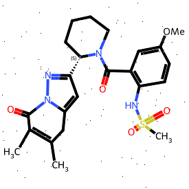 COc1ccc(NS(C)(=O)=O)c(C(=O)N2CCCC[C@H]2c2cc3n(n2)C(=O)C(C)=C(C)C3)c1